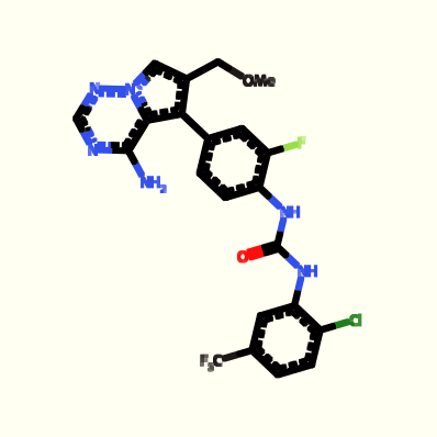 COCc1cn2ncnc(N)c2c1-c1ccc(NC(=O)Nc2cc(C(F)(F)F)ccc2Cl)c(F)c1